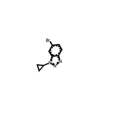 Brc1ccc2nnn(C3CC3)c2c1